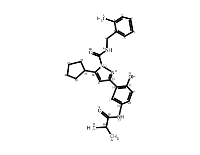 Cc1ccccc1CNC(=O)n1nc(-c2cc(NC(=O)C(C)C)ccc2O)cc1C1CCCC1